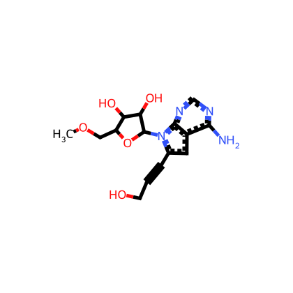 COCC1OC(n2c(C#CCO)cc3c(N)ncnc32)C(O)C1O